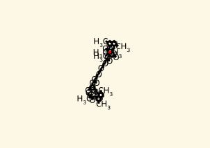 CCC(C)(C)C(=O)OC1CC(C)C=C2C=CC(C)C(CCC3CC(OC(=O)COCCOCCOCCOC(=O)OC4CC(=O)OC(CCC5C(C)C=CC6=CC(C)CC(OC(=O)C(C)(C)CC)C65)C4)CC(=O)O3)C21